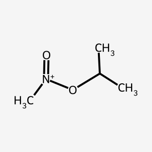 CC(C)O[N+](C)=O